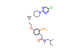 CCC(C)CN(C)C(=O)Cc1ccc(OCC[C@@H]2C[C@@H]2C2CCN(c3ncc(Cl)cn3)CC2)cc1P